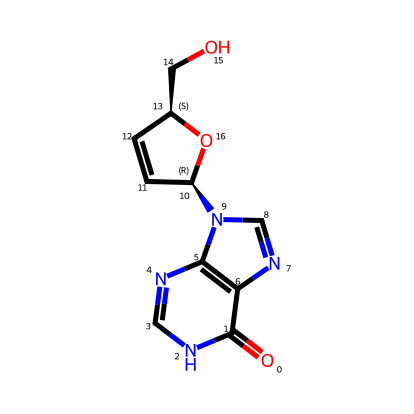 O=c1[nH]cnc2c1ncn2[C@H]1C=C[C@@H](CO)O1